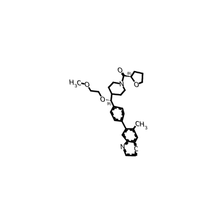 COCCO[C@@H](c1ccc(-c2cc3ncccc3cc2C)cc1)C1CCN(C(=O)[C@H]2CCCO2)CC1